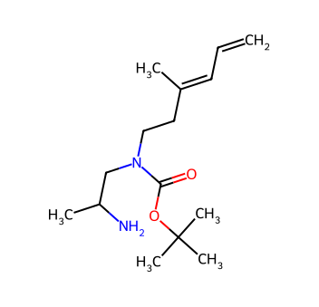 C=C/C=C(\C)CCN(CC(C)N)C(=O)OC(C)(C)C